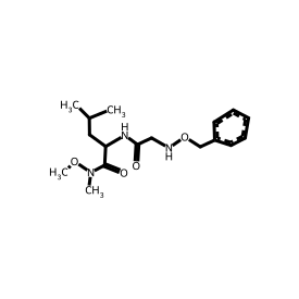 CON(C)C(=O)C(CC(C)C)NC(=O)CNOCc1ccccc1